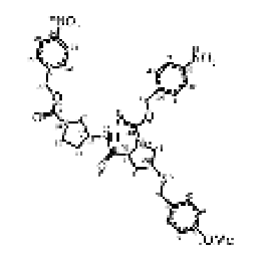 COc1ccc(CS[C@H]2C[C@@H](C(=O)N[C@H]3CCN(C(=O)OCc4ccc([N+](=O)[O-])cc4)C3)N(C(=O)OCc3ccc([N+](=O)[O-])cc3)C2)cc1